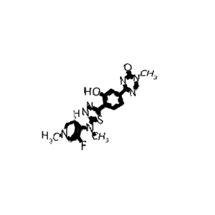 CN1C[C@H]2CCC1C(F)C2N(C)c1nnc(-c2ccc(-c3ncn(C)c(=O)n3)cc2O)s1